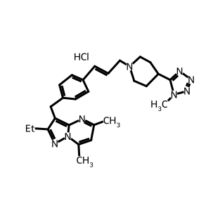 CCc1nn2c(C)cc(C)nc2c1Cc1ccc(C=CCN2CCC(c3nnnn3C)CC2)cc1.Cl